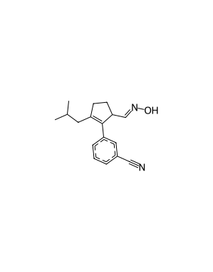 CC(C)CC1=C(c2cccc(C#N)c2)C(C=NO)CC1